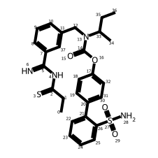 CCC(=S)NC(=N)c1cccc(CN(C(=O)Oc2ccc(-c3ccccc3S(N)(=O)=O)cc2)C(C)CC)c1